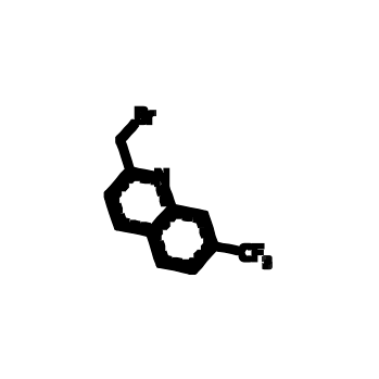 FC(F)(F)c1ccc2ccc(CBr)nc2c1